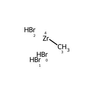 Br.Br.Br.[CH3][Zr]